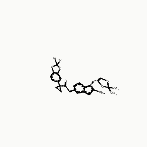 [2H]C1([2H])Oc2ccc(C3(C(=O)Cc4ccc5c(c4)cc(C(C)(C)C)n5C[C@@H]4COC(C)(C)O4)CC3)cc2O1